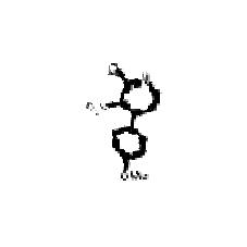 COc1ccc(-c2ccnc(Cl)c2[N+](=O)[O-])cc1